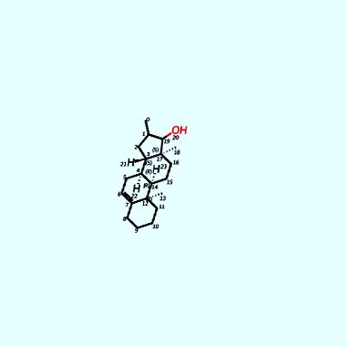 CC1C[C@H]2[C@@H]3CC=C4CCCC[C@]4(C)[C@@H]3CC[C@]2(C)C1O